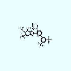 CCNc1ccc(-c2cc(C(F)(F)F)cc(C(F)(F)F)c2)nc1-c1nc2c(n1C)C(O)N(CC)C(C(F)(F)F)=C2